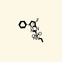 CCNS(=O)(=O)c1nc2n(n1)[C@H](c1ccccc1)C[C@@H]2F